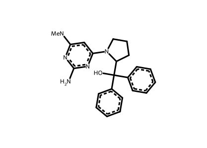 CNc1cc(N2CCCC2C(O)(c2ccccc2)c2ccccc2)nc(N)n1